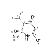 CC(C)C1C(=O)N=C([O-])NC1=O.[Na+]